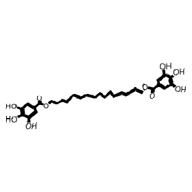 O=C(OCCCCCCCCCCCCCCCCOC(=O)c1cc(O)c(O)c(O)c1)c1cc(O)c(O)c(O)c1